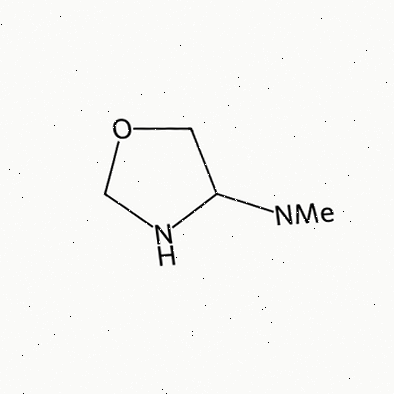 CNC1COCN1